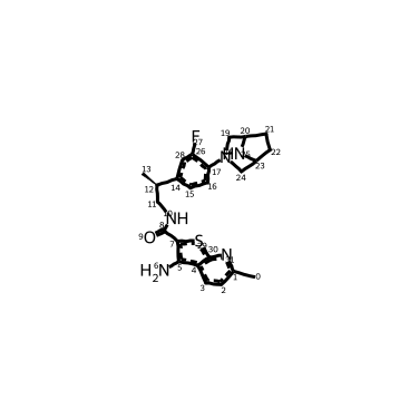 Cc1ccc2c(N)c(C(=O)NC[C@@H](C)c3ccc(N4CC5CCC(C4)N5)c(F)c3)sc2n1